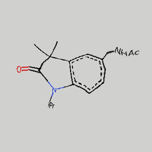 CC(=O)Nc1ccc2c(c1)C(C)(C)C(=O)N2C(C)C